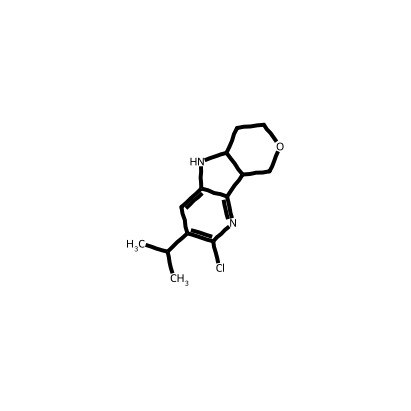 CC(C)c1cc2c(nc1Cl)C1COCCC1N2